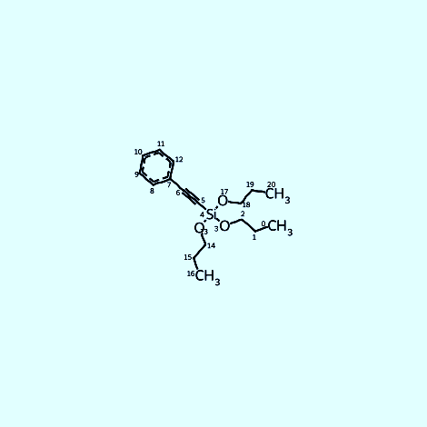 CCCO[Si](C#Cc1ccccc1)(OCCC)OCCC